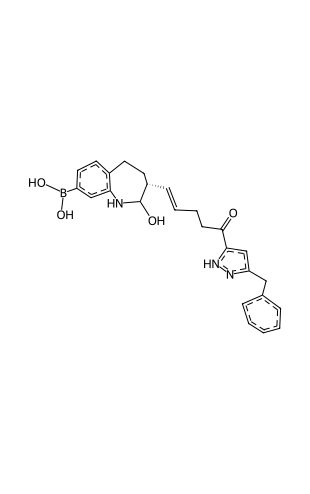 O=C(CC/C=C/[C@H]1CCc2ccc(B(O)O)cc2NC1O)c1cc(Cc2ccccc2)n[nH]1